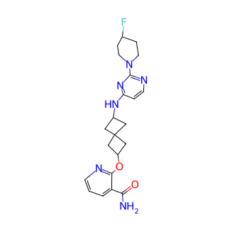 NC(=O)c1cccnc1OC1CC2(CC(Nc3ccnc(N4CCC(F)CC4)n3)C2)C1